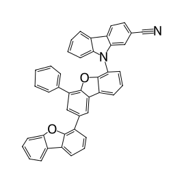 N#Cc1ccc2c3ccccc3n(-c3cccc4c3oc3c(-c5ccccc5)cc(-c5cccc6c5oc5ccccc56)cc34)c2c1